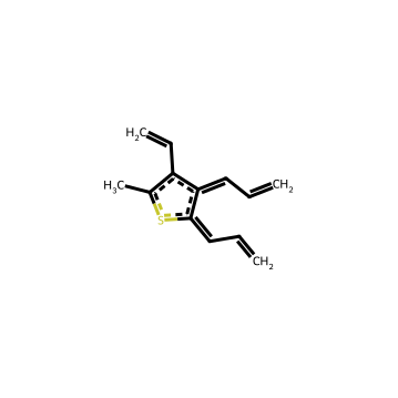 C=C/C=c1/c(C=C)c(C)s/c1=C/C=C